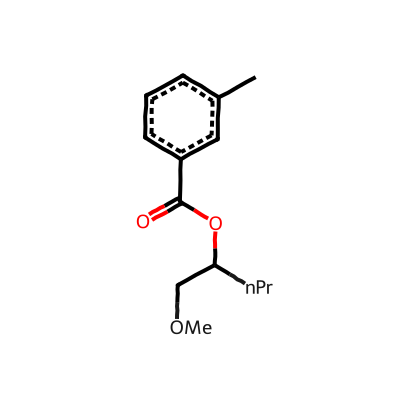 CCCC(COC)OC(=O)c1cccc(C)c1